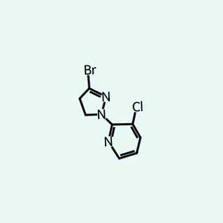 Clc1cccnc1N1CCC(Br)=N1